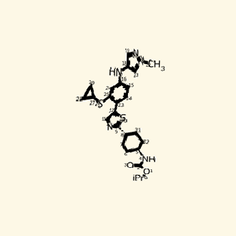 CC(C)OC(=O)N[C@H]1CC[C@H](c2ncc(-c3ccc(Nc4cnn(C)c4)cc3SC3CC3)s2)CC1